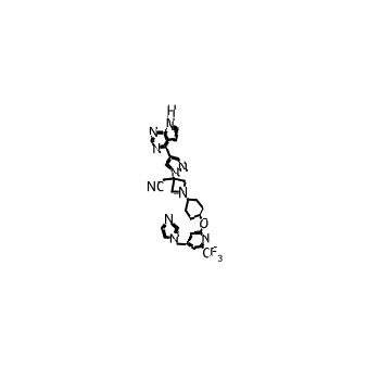 N#CCC1(n2cc(-c3ncnc4[nH]ccc34)cn2)CN(C2CCC(Oc3cc(Cn4ccnc4)cc(C(F)(F)F)n3)CC2)C1